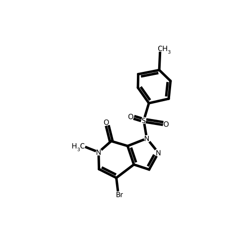 Cc1ccc(S(=O)(=O)n2ncc3c(Br)cn(C)c(=O)c32)cc1